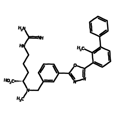 Cc1c(-c2ccccc2)cccc1-c1nnc(-c2cccc(CN(C)[C@@H](CCCNC(=N)N)C(=O)O)c2)o1